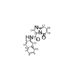 O=C(Nc1ccc2ccccc2c1)C1C=Nc2cccc(=O)n21